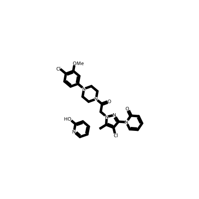 COc1cc(N2CCN(C(=O)Cn3nc(-n4ccccc4=O)c(Cl)c3C)CC2)ccc1Cl.Oc1ccccn1